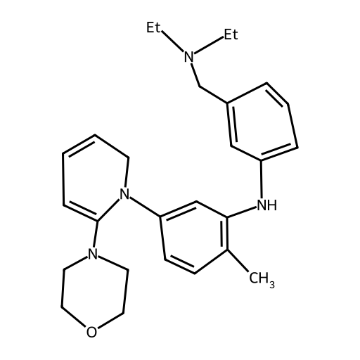 CCN(CC)Cc1cccc(Nc2cc(N3CC=CC=C3N3CCOCC3)ccc2C)c1